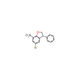 O=[N+]([O-])c1cc(Br)cc2c1OCC2c1ccccc1